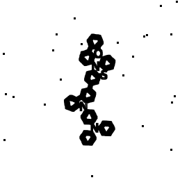 c1ccc(N(c2ccccc2)c2ccc(-n3c4ccccc4c4cc(-c5ccc6c(c5)Sc5ccccc5N6c5cccc6c5oc5ccccc56)ccc43)cc2)cc1